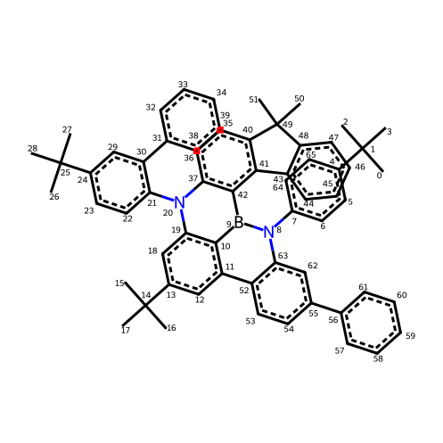 CC(C)(C)c1ccc(N2B3c4c(cc(C(C)(C)C)cc4N(c4ccc(C(C)(C)C)cc4-c4ccccc4)c4ccc5c(c43)-c3ccccc3C5(C)C)-c3ccc(-c4ccccc4)cc32)cc1